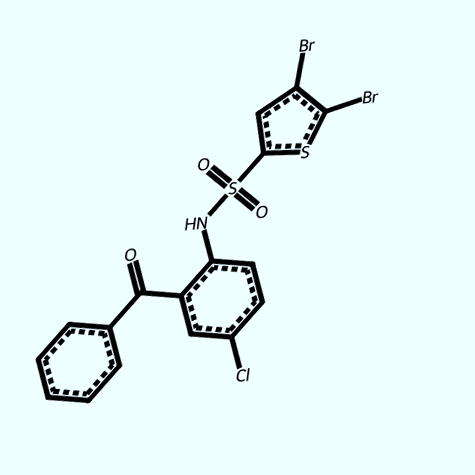 O=C(c1ccccc1)c1cc(Cl)ccc1NS(=O)(=O)c1cc(Br)c(Br)s1